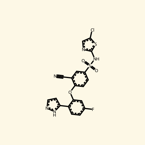 N#Cc1cc(S(=O)(=O)Nc2ncc(Cl)s2)ccc1Oc1cc(F)ccc1-c1ccn[nH]1